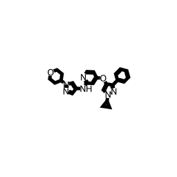 c1ccc(-c2nn(C3CC3)cc2Oc2ccnc(Nc3cnn(C4CCOCC4)c3)c2)cc1